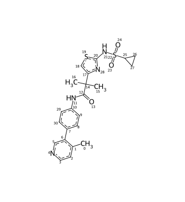 Cc1ccncc1-c1ccc(NC(=O)C(C)(C)c2csc(NS(=O)(=O)C3CC3)n2)cc1